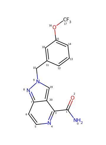 NC(=O)c1nccc2nn(Cc3cccc(OC(F)(F)F)c3)cc12